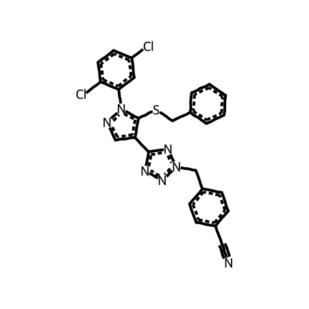 N#Cc1ccc(Cn2nnc(-c3cnn(-c4cc(Cl)ccc4Cl)c3SCc3ccccc3)n2)cc1